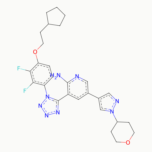 Nc1ncc(-c2cnn(C3CCOCC3)c2)cc1-c1nnnn1-c1ccc(OCCC2CCCC2)c(F)c1F